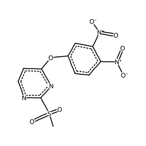 CS(=O)(=O)c1nccc(Oc2ccc([N+](=O)[O-])c([N+](=O)[O-])c2)n1